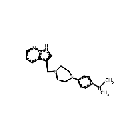 CN(C)c1ccc(N2CCN(Cc3c[nH]c4ncccc34)CC2)cc1